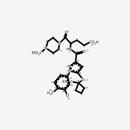 CCOC(=O)N1CCN(C(=O)C(CCC(=O)O)NC(=O)c2cc(OC3(C(=O)OCC)CCC3)n(-c3ccc(C)c(Cl)c3)n2)CC1